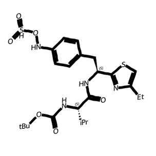 CCc1csc([C@H](Cc2ccc(NO[SH](=O)=O)cc2)NC(=O)[C@@H](NC(=O)OC(C)(C)C)C(C)C)n1